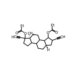 C#CC1C[C@@H]2CCC3C(CC[C@@]4(C)C3CCC4(C#C)OC(=O)CC)C2C1OC(=O)CC